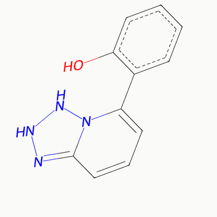 Oc1ccccc1C1=CC=CC2=NNNN12